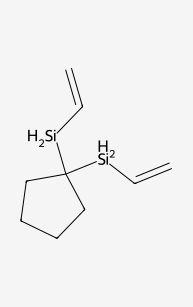 C=C[SiH2]C1([SiH2]C=C)CCCC1